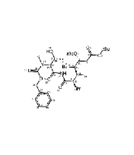 CC[C@H](C)[C@@H]([C@@H](CC(=O)OC(C)(C)C)OC)N(C)[C@H](C(=O)NC(=O)[C@H]([C@@H](C)O)N(C)C(=O)OCc1ccccc1)C(C)C